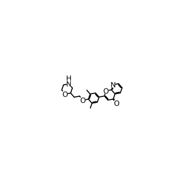 Cc1cc(-c2cc(=O)c3cccnc3o2)cc(C)c1OCCC1CNCCO1